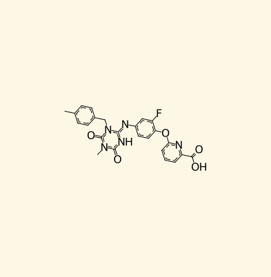 Cc1ccc(Cn2c(=O)n(C)c(=O)[nH]/c2=N\c2ccc(Oc3cccc(C(=O)O)n3)c(F)c2)cc1